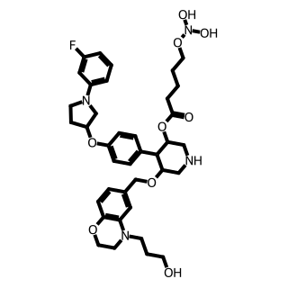 O=C(CCCCON(O)O)OC1CNCC(OCc2ccc3c(c2)N(CCCO)CCO3)C1c1ccc(OC2CCN(c3cccc(F)c3)C2)cc1